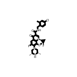 COc1c(N2C[C@@H](C)N[C@@H](C)C2)c(F)cc2c(=O)c(C(=O)NCc3ccc(Cl)cc3C)cn([C@H]3C[C@H]3F)c12